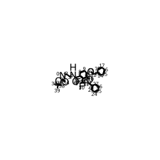 CN(CCNC(=O)c1ccc(OCc2ccccc2)c(OCc2ccccc2)c1C(F)(F)F)C(=O)OC(C)(C)C